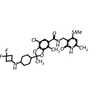 CSc1cc(C)[nH]c(=O)c1CNC(=O)c1cc(Cl)c2c(c1C)OC(C)(C1CCC(NC3CC(F)(F)C3)CC1)O2